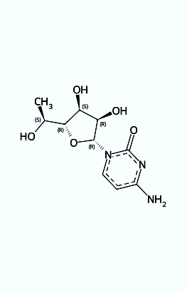 C[C@H](O)[C@H]1O[C@@H](n2ccc(N)nc2=O)[C@H](O)[C@@H]1O